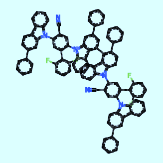 N#Cc1cc(-n2c3ccccc3c3c(-c4c(-c5ccccc5)ccc5c4c4ccccc4n5-c4cc(-c5c(F)cccc5F)c(-n5c6ccccc6c6cc(-c7ccccc7)ccc65)cc4C#N)cc(-c4ccccc4)cc32)c(-c2c(F)cccc2F)cc1-n1c2ccccc2c2ccc(-c3ccccc3)cc21